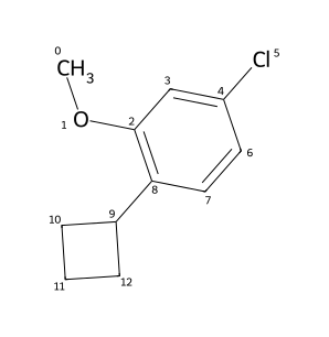 COc1cc(Cl)ccc1C1CCC1